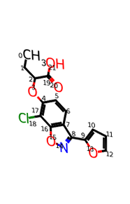 CCC(Oc1ccc2c(-c3ccco3)noc2c1Cl)C(=O)O